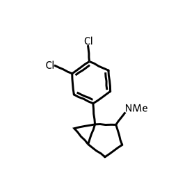 CNC1CCC2CC21c1ccc(Cl)c(Cl)c1